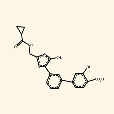 Cc1nc(CNC(=O)C2CC2)sc1-c1cccc(-c2ccc(C(=O)O)c(O)c2)c1